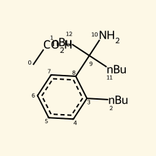 CC(=O)O.CCCCc1ccccc1C(N)(CCCC)CCCC